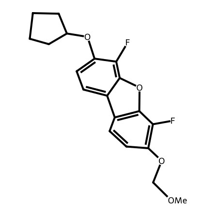 COCOc1ccc2c(oc3c(F)c(OC4CCCC4)ccc32)c1F